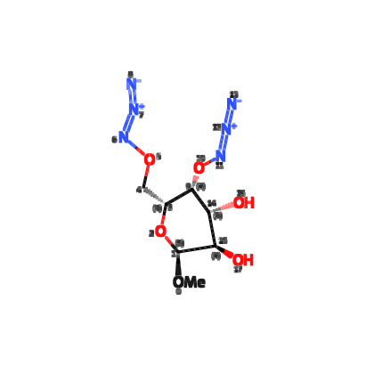 CO[C@H]1O[C@H](CON=[N+]=[N-])[C@H](ON=[N+]=[N-])[C@H](O)[C@H]1O